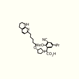 COc1c(C#N)cc(C(C)C)cc1C(C(=O)O)N1CC[C@@H](OCCCCCc2ccc3c(n2)NCCC3)C1